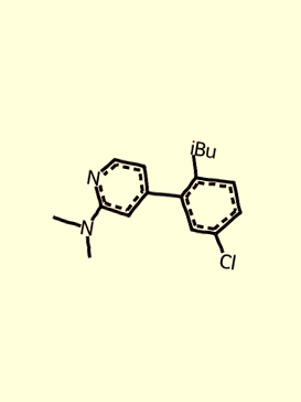 CCC(C)c1ccc(Cl)cc1-c1ccnc(N(C)C)c1